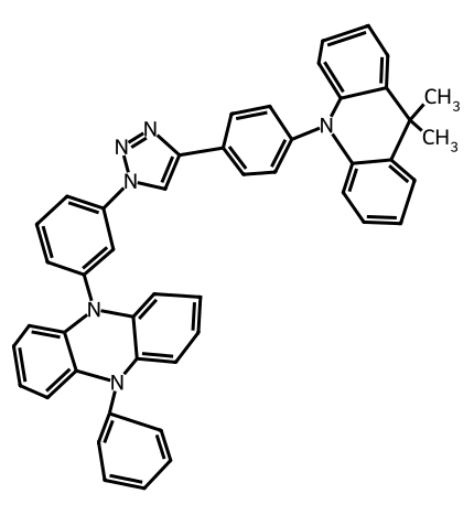 CC1(C)c2ccccc2N(c2ccc(-c3cn(-c4cccc(N5c6ccccc6N(c6ccccc6)c6ccccc65)c4)nn3)cc2)c2ccccc21